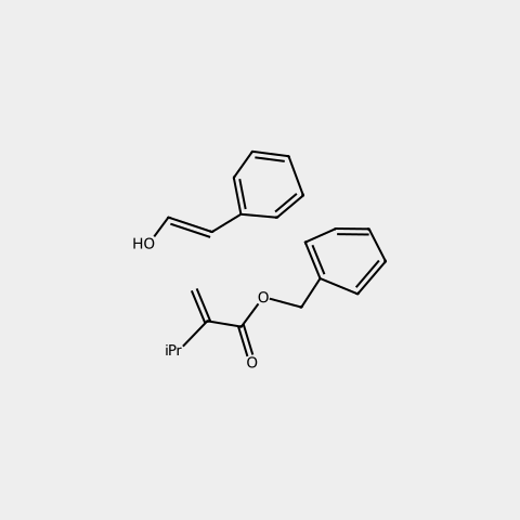 C=C(C(=O)OCc1ccccc1)C(C)C.OC=Cc1ccccc1